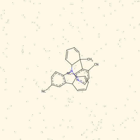 CC1(c2c(C#N)ccnc2C#N)C=CC=CC1N1c2ccc(C#N)cc2C2C=CC=CC21